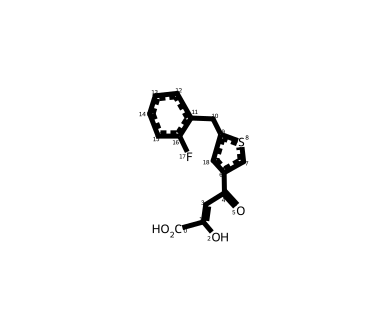 O=C(O)/C(O)=C/C(=O)c1csc(Cc2ccccc2F)c1